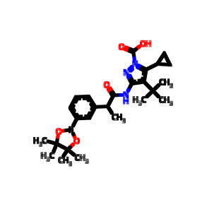 CC(C(=O)Nc1nn(C(=O)O)c(C2CC2)c1C(C)(C)C)c1cccc(B2OC(C)(C)C(C)(C)O2)c1